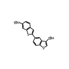 CC(C)(C)c1ccc2cc(-c3ccc4scc(C(C)(C)C)c4c3)sc2c1